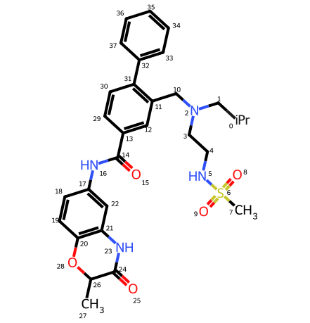 CC(C)CN(CCNS(C)(=O)=O)Cc1cc(C(=O)Nc2ccc3c(c2)NC(=O)C(C)O3)ccc1-c1ccccc1